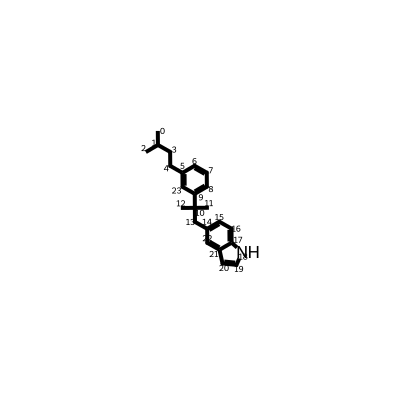 CC(C)CCc1cccc(C(C)(C)Cc2ccc3[nH]ccc3c2)c1